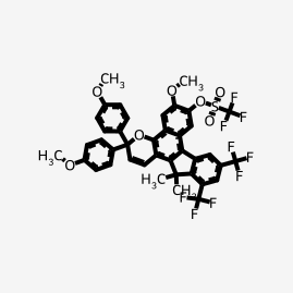 COc1ccc(C2(c3ccc(OC)cc3)C=Cc3c4c(c5cc(OS(=O)(=O)C(F)(F)F)c(OC)cc5c3O2)-c2cc(C(F)(F)F)cc(C(F)(F)F)c2C4(C)C)cc1